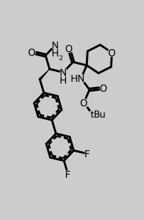 CC(C)(C)OC(=O)NC1(C(=O)N[C@@H](Cc2ccc(-c3ccc(F)c(F)c3)cc2)C(N)=O)CCOCC1